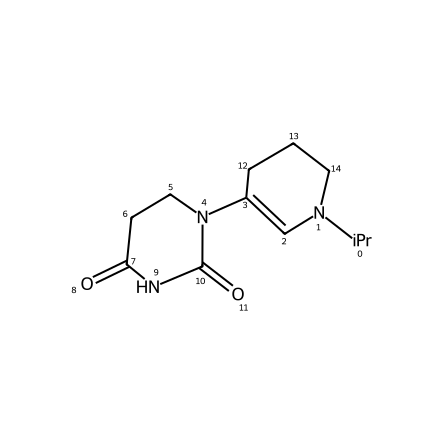 CC(C)N1C=C(N2CCC(=O)NC2=O)CCC1